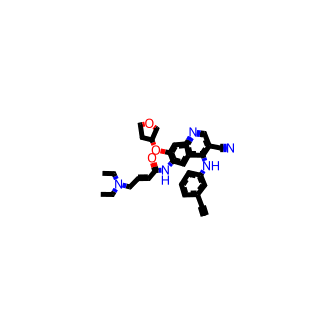 C#Cc1cccc(Nc2c(C#N)cnc3cc(OC4CCOC4)c(NC(=O)C=CCN(CC)CC)cc23)c1